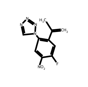 C=C(C)c1cc(F)c([N+](=O)[O-])cc1-n1cnnn1